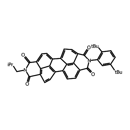 CC(C)CN1C(=O)c2ccc3c4ccc5c6c(ccc(c7ccc(c2c37)C1=O)c64)C(=O)N(c1cc(C(C)(C)C)ccc1C(C)(C)C)C5=O